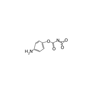 Nc1ccc(OC(=O)N=S(=O)=O)cc1